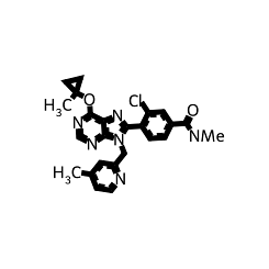 CNC(=O)c1ccc(-c2nc3c(OC4(C)CC4)ncnc3n2Cc2cc(C)ccn2)c(Cl)c1